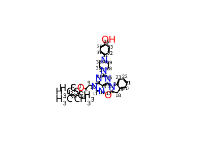 CC(C)(C)[Si](C)(C)OCCn1cnc2c(N3C(=O)Cc4ccccc43)nc(N3CCN(c4ccc(O)cc4)CC3)nc21